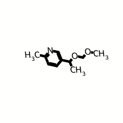 COCOC(C)c1ccc(C)nc1